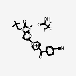 Cn1c(=O)n(CC(C)(C)C)c2ccc(N3CC4CCC3CN4C(=O)c3ccc(C#N)cc3)nc21.O=C(O)C(F)(F)F